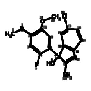 COc1cc(F)c(C2(O)C(N)=Nc3ccc(Cl)cc32)cc1OC